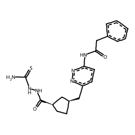 NC(=S)NNC(=O)[C@@H]1CC[C@H](Cc2ccc(NC(=O)Cc3ccccc3)nn2)C1